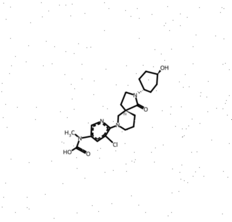 CN(C(=O)O)c1cnc(N2CCC[C@]3(CCN([C@H]4CC[C@H](O)CC4)C3=O)C2)c(Cl)c1